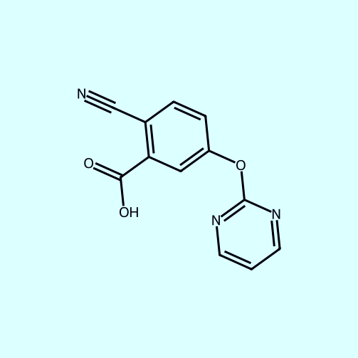 N#Cc1ccc(Oc2ncccn2)cc1C(=O)O